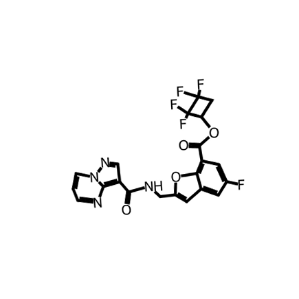 O=C(OC1CC(F)(F)C1(F)F)c1cc(F)cc2cc(CNC(=O)c3cnn4cccnc34)oc12